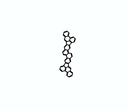 c1ccc2c(c1)cc1c3c(cccc32)-c2cc3c(ccc4c5cc6c(cc5ccc34)-c3cc4ccccc4c4cccc-6c34)cc2-1